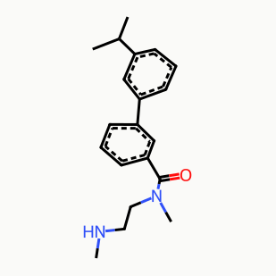 CNCCN(C)C(=O)c1cccc(-c2cccc(C(C)C)c2)c1